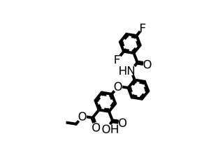 CCOC(=O)c1ccc(Oc2ccccc2NC(=O)c2cc(F)ccc2F)cc1C(=O)O